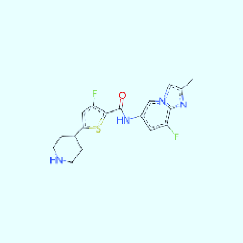 Cc1cn2cc(NC(=O)c3sc(C4CCNCC4)cc3F)cc(F)c2n1